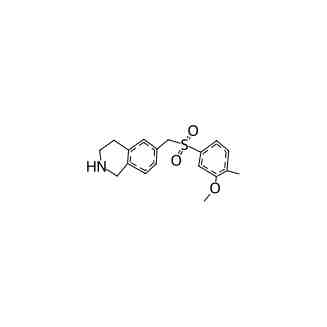 COc1cc(S(=O)(=O)Cc2ccc3c(c2)CCNC3)ccc1C